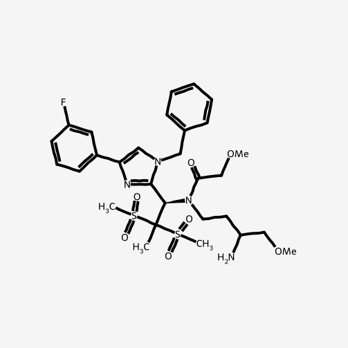 COCC(=O)N(CCC(N)COC)[C@H](c1nc(-c2cccc(F)c2)cn1Cc1ccccc1)C(C)(S(C)(=O)=O)S(C)(=O)=O